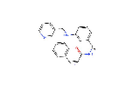 C[C@H](NC(=O)/C=C\c1ccccc1)c1cccc(NCc2cccnc2)c1